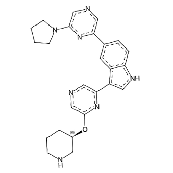 c1cc2[nH]cc(-c3cncc(O[C@@H]4CCCNC4)n3)c2cc1-c1cncc(N2CCCC2)n1